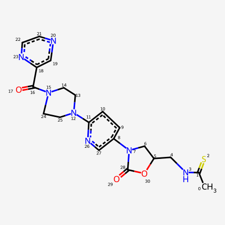 CC(=S)NCC1CN(c2ccc(N3CCN(C(=O)c4cnccn4)CC3)nc2)C(=O)O1